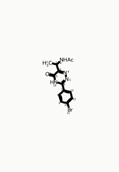 CC(=O)NC(C)c1nnc(-c2ccc(Br)cc2)[nH]c1=O